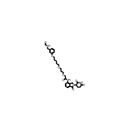 O=CNCc1cccc(OCCCCCOCCCOCC(=O)Nc2cccc3c2CN(C2CCC(=O)NC2=O)C3=O)c1